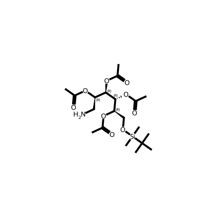 CC(=O)O[C@@H]([C@H](OC(C)=O)[C@@H](CO[Si](C)(C)C(C)(C)C)OC(C)=O)[C@@H](CN)OC(C)=O